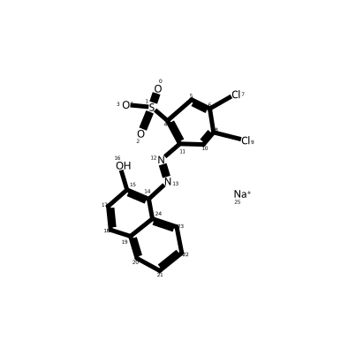 O=S(=O)([O-])c1cc(Cl)c(Cl)cc1N=Nc1c(O)ccc2ccccc12.[Na+]